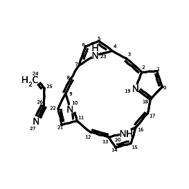 C1=Cc2cc3ccc(cc4nc(cc5ccc(cc1n2)[nH]5)C=C4)[nH]3.C=CC#N